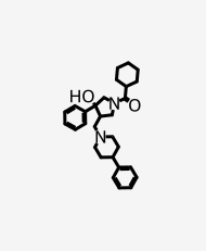 O=C(C1CCCCC1)N1CC(CN2CCC(c3ccccc3)CC2)C(O)(c2ccccc2)C1